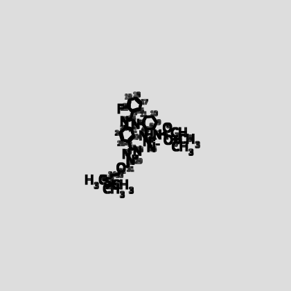 CC(C)(C)OC(=O)N[C@H]1CCC[C@@H](n2c(-c3ccccc3F)nc3ccc(-c4ncn(COCC[Si](C)(C)C)n4)cc32)[C@@H]1N=[N+]=[N-]